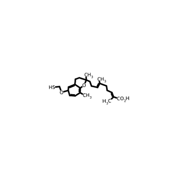 CC1=C2OC(C)(CC/C=C(\C)CC/C=C(\C)C(=O)O)CCC2=CC(OCS)C=C1